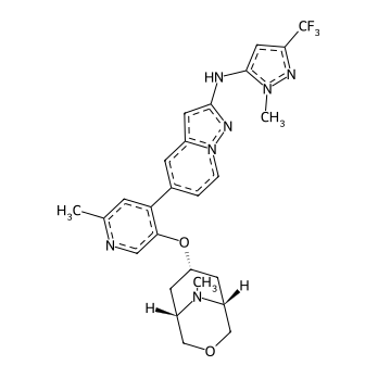 Cc1cc(-c2ccn3nc(Nc4cc(C(F)(F)F)nn4C)cc3c2)c(O[C@H]2C[C@H]3COC[C@@H](C2)N3C)cn1